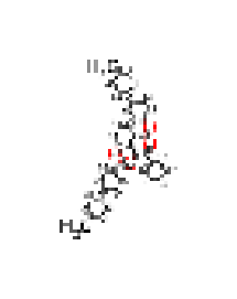 CC1CCC(c2ccc(OCOC(c3ccccc3)C(OC(=O)c3ccc([C@H]4CC[C@H](C)CC4)cc3)c3ccccc3)cc2)CC1